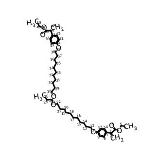 C=C(C(=O)OCC)c1ccc(OCCCCCCCCCCCOC(CC)OCCCCCCCCCCCOc2ccc(C(=C)C(=O)OCC)cc2)cc1